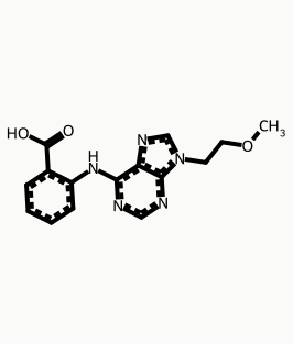 COCCn1cnc2c(Nc3ccccc3C(=O)O)ncnc21